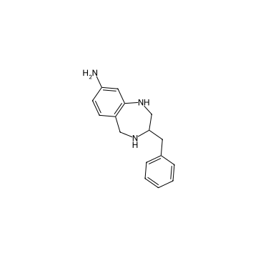 Nc1ccc2c(c1)NCC(Cc1ccccc1)NC2